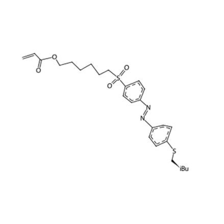 C=CC(=O)OCCCCCCS(=O)(=O)c1ccc(N=Nc2ccc(SC[C@H](C)CC)cc2)cc1